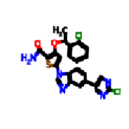 CC(Oc1cc(-n2cnc3cc(-c4cnc(Cl)nc4)ccc32)sc1C(N)=O)c1ccccc1Cl